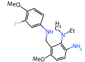 CCN(C)c1c(N)ccc(OC)c1CNc1ccc(OC)c(F)c1